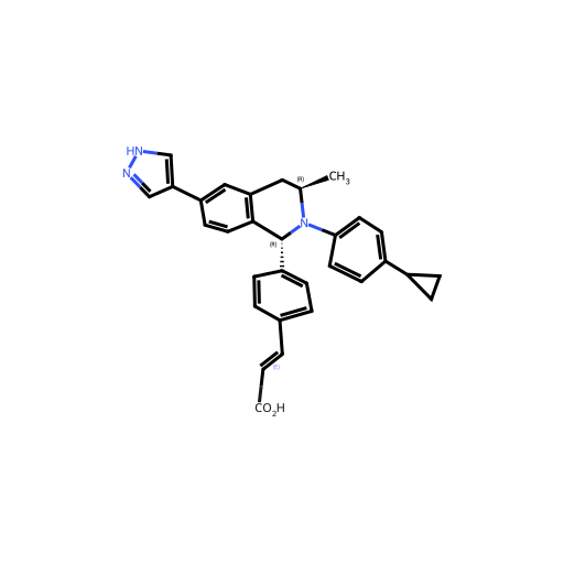 C[C@@H]1Cc2cc(-c3cn[nH]c3)ccc2[C@@H](c2ccc(/C=C/C(=O)O)cc2)N1c1ccc(C2CC2)cc1